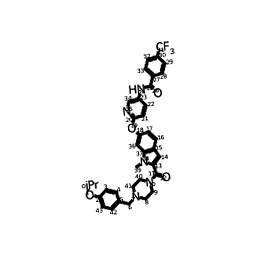 CC(C)Oc1ccc(CN2CCN(C(=O)c3cc4ccc(Oc5ccc(NC(=O)c6ccc(C(F)(F)F)cc6)cn5)cc4n3C)CC2)cc1